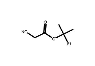 CCC(C)(C)OC(=O)CC#N